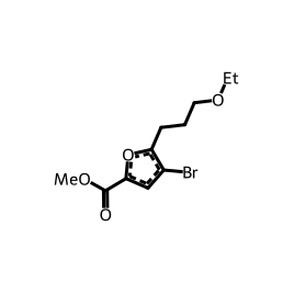 CCOCCCc1oc(C(=O)OC)cc1Br